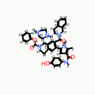 Cc1c(C(=O)N(C)c2ccc(O)cc2)cc(-c2cc3c(cc2C(=O)N2Cc4ccccc4C[C@H]2CN2CCN(C)CC2)CN(C(=O)Oc2ccccc2)CC3)n1C